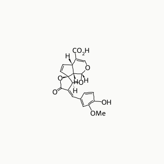 COc1cc(/C=C2/C(=O)O[C@]34C=C[C@@H]5C(C(=O)O)=CO[C@H](O[C@@H]23)[C@@H]54)ccc1O